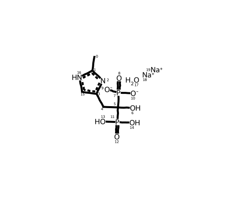 Cc1nc(CC(O)(P(=O)([O-])[O-])P(=O)(O)O)c[nH]1.O.[Na+].[Na+]